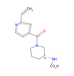 C=Cc1cc(C(=O)N2CCC[C@@H](NC(=O)O)C2)ccn1